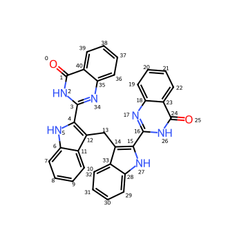 O=c1[nH]c(-c2[nH]c3ccccc3c2Cc2c(-c3nc4ccccc4c(=O)[nH]3)[nH]c3ccccc23)nc2ccccc12